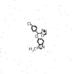 Cn1cnc2ccc(OC(c3ccc(Cl)cc3)c3nnco3)cc21